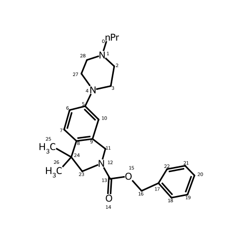 CCCN1CCN(c2ccc3c(c2)CN(C(=O)OCc2ccccc2)CC3(C)C)CC1